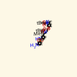 CO[C@@H](CN(CCOc1ccc2c(C)nn(C(=O)OC(C)(C)C)c2c1)C(=O)OC(C)(C)C)c1cccc(NS(=O)(=O)c2cccc(N)c2)c1